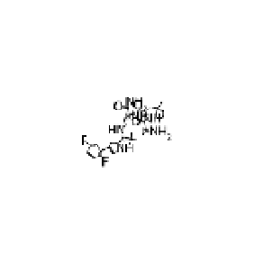 CC(=O)C[C@H](NC(=O)[C@H](C)N)C(=O)N[C@@H](CCN[C@@H](c1cc(-c2cc(F)ccc2F)c[nH]1)C(C)(C)C)C(N)=O